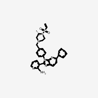 C=CS(=O)(=O)N1CCN(Cc2ccc(-n3c(-c4cccnc4N)nc4ccc(-c5ccccc5)nc43)cc2)C[C@@H]1C